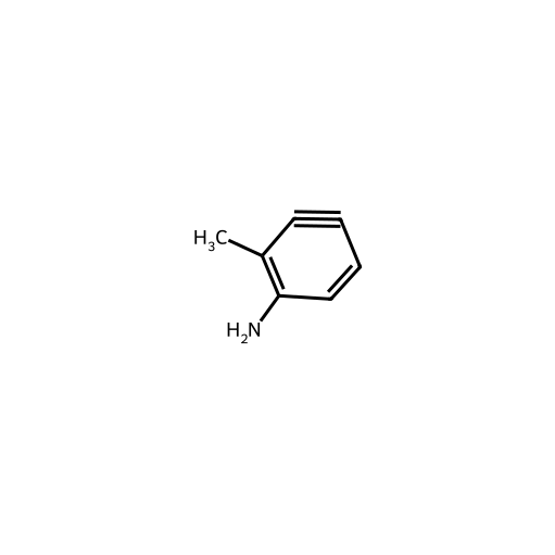 Cc1c#cccc1N